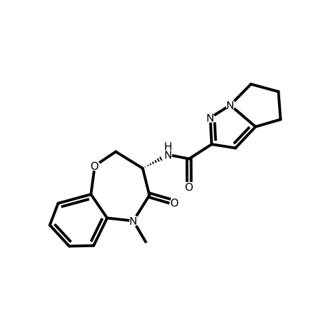 CN1C(=O)[C@@H](NC(=O)c2cc3n(n2)CCC3)COc2ccccc21